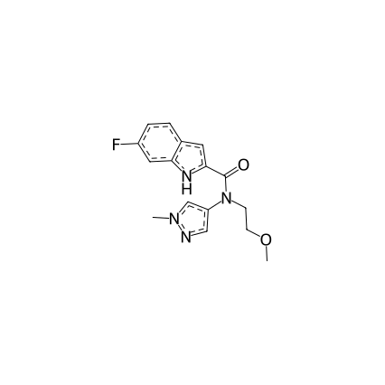 COCCN(C(=O)c1cc2ccc(F)cc2[nH]1)c1cnn(C)c1